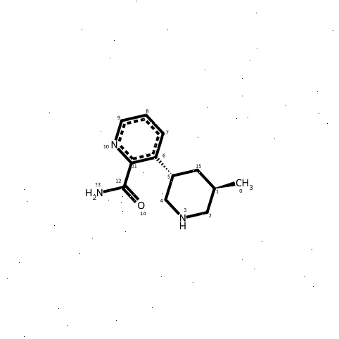 C[C@H]1CNC[C@H](c2cccnc2C(N)=O)C1